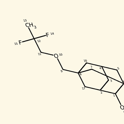 COC1C2CC3CC1CC(COCC(C)(F)F)(C3)C2